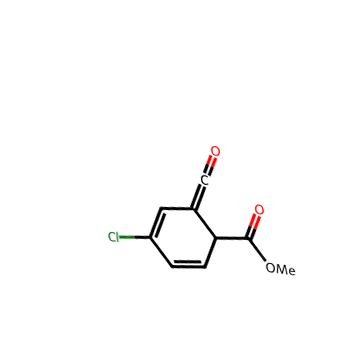 COC(=O)C1C=CC(Cl)=CC1=C=O